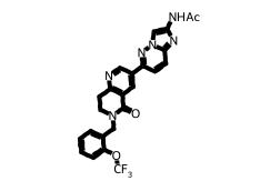 CC(=O)Nc1cn2nc(-c3cnc4c(c3)C(=O)N(Cc3ccccc3OC(F)(F)F)CC4)ccc2n1